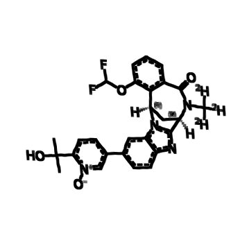 [2H]C([2H])([2H])N1C(=O)c2cccc(OC(F)F)c2[C@H]2C[C@@H]1c1nc3ccc(-c4ccc(C(C)(C)O)[n+]([O-])c4)cc3n12